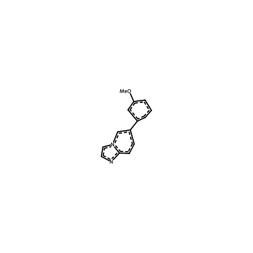 COc1cccc(-c2ccc3nccn3c2)c1